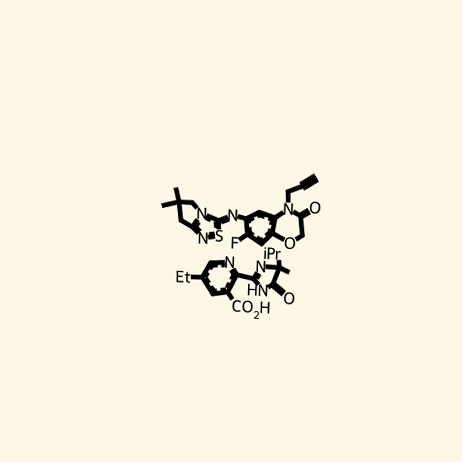 C#CCN1C(=O)COc2cc(F)c(/N=c3\snc4n3CC(C)(C)C4)cc21.CCc1cnc(C2=NC(C)(C(C)C)C(=O)N2)c(C(=O)O)c1